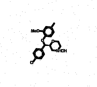 COc1cc(C)ccc1OC(c1ccc(Cl)cc1)[C@@H]1CNCCO1.Cl